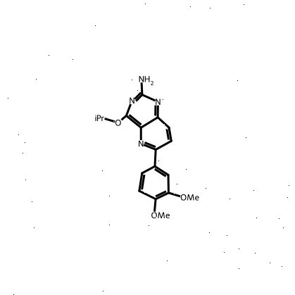 COc1ccc(-c2ccc3nc(N)nc(OC(C)C)c3n2)cc1OC